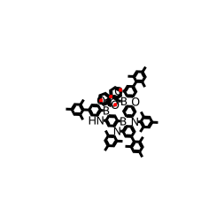 Cc1cc(C)c(-c2cc3c4c(c2)Oc2c(oc5ccccc25)B4c2cc4c(cc2N3)N(c2c(C)cc(C)cc2C)c2cc(-c3c(C)cc(C)cc3C)cc3c2B4c2cc4c(cc2N3c2c(C)cc(C)cc2C)Oc2cc(-c3c(C)cc(C)cc3C)cc3c2B4c2oc4ccccc4c2O3)c(C)c1